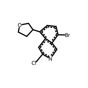 Clc1cc2c(C3CCOC3)ccc(Br)c2cn1